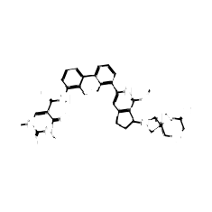 COc1nc(-c2cccc(-c3cccc(NC(=O)c4cn(C)c(=O)n(C)c4=O)c3C)c2Cl)cc2c1C(N1CC3(COCC(=O)N3)C1)CC2